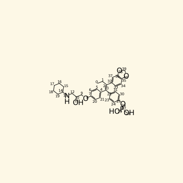 CCC(=C(c1ccc(OCC(O)CNC2CCCCC2)cc1)c1ccc(OP(O)O)cc1)c1ccc2c(c1)OCO2